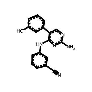 N#Cc1cccc(Nc2nc(N)ncc2-c2cccc(O)c2)c1